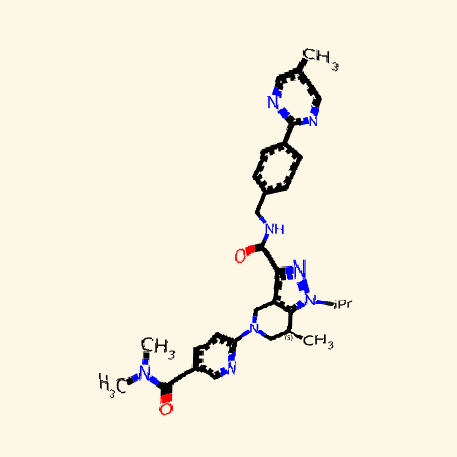 Cc1cnc(-c2ccc(CNC(=O)c3nn(C(C)C)c4c3CN(c3ccc(C(=O)N(C)C)cn3)C[C@@H]4C)cc2)nc1